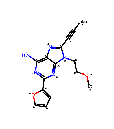 CCCCC#Cc1nc2c(N)nc(-c3ccco3)nc2n1CCOCC